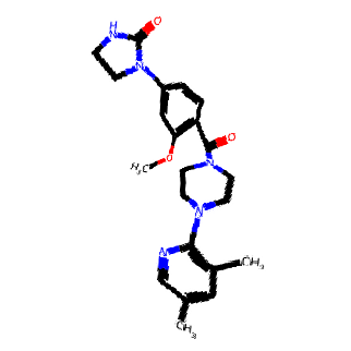 COc1cc(N2CCNC2=O)ccc1C(=O)N1CCN(c2ncc(C)cc2C)CC1